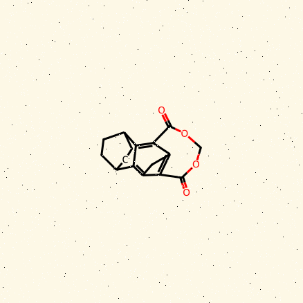 O=C1OCOC(=O)c2c3c1c(c1c2C2CCC1CC2)C3